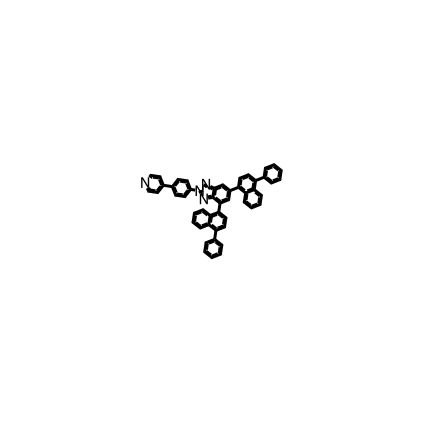 c1ccc(-c2ccc(-c3cc(-c4ccc(-c5ccccc5)c5ccccc45)c4nn(-c5ccc(-c6ccncc6)cc5)nc4c3)c3ccccc23)cc1